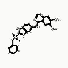 COc1cc2ncnc(Nc3ccc4[nH]c(S(=O)(=O)Cc5ccccc5)nc4c3)c2cc1OC